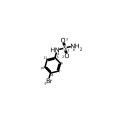 NS(=O)(=O)Nc1ccc(Br)cc1